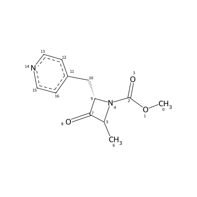 COC(=O)N1C(C)C(=O)[C@@H]1Cc1ccncc1